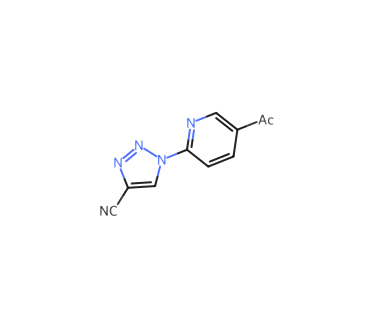 CC(=O)c1ccc(-n2cc(C#N)nn2)nc1